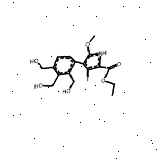 CCOC(=O)c1[nH]c(OC)c(-c2ccc(CO)c(CO)c2CO)c1I